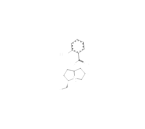 Cc1ccccc1C(=O)O[C@]12CCCN1[C@@H](CF)CC2